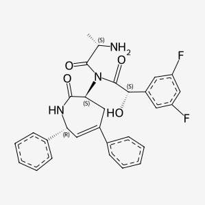 C[C@H](N)C(=O)N(C(=O)[C@@H](O)c1cc(F)cc(F)c1)[C@H]1CC(c2ccccc2)=C[C@H](c2ccccc2)NC1=O